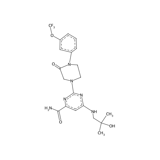 CC(C)(O)CNc1cc(C(N)=O)nc(N2CCN(c3cccc(OC(F)(F)F)c3)C(=O)C2)n1